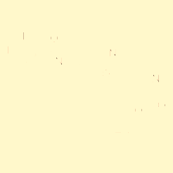 CCOC(=O)c1cc(-c2nc3ccc(NC(=O)[C@@H]4CC4(F)F)cc3o2)ccn1